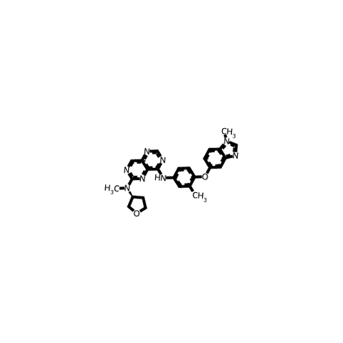 Cc1cc(Nc2ncnc3cnc(N(C)[C@H]4CCOC4)nc23)ccc1Oc1ccc2c(c1)ncn2C